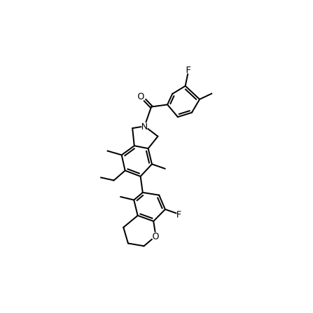 CCc1c(C)c2c(c(C)c1-c1cc(F)c3c(c1C)CCCO3)CN(C(=O)c1ccc(C)c(F)c1)C2